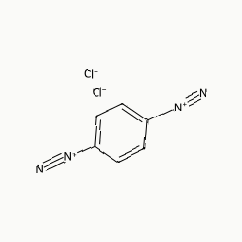 N#[N+]c1ccc([N+]#N)cc1.[Cl-].[Cl-]